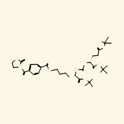 CC(C)(C)OC(=O)CC[C@H](NC(=O)N[C@@H](CCCCNC(=O)c1ccc(C(=O)N2CCSC2=S)cc1)C(=O)OC(C)(C)C)C(=O)OC(C)(C)C